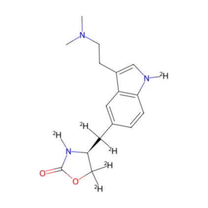 [2H]N1C(=O)OC([2H])([2H])[C@@H]1C([2H])([2H])c1ccc2c(c1)c(CCN(C)C)cn2[2H]